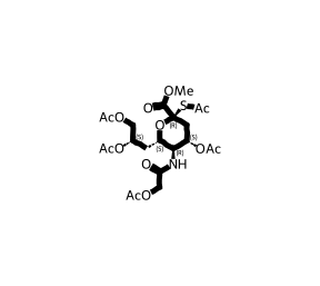 COC(=O)[C@]1(SC(C)=O)C[C@H](OC(C)=O)[C@@H](NC(=O)COC(C)=O)[C@H](C[C@@H](COC(C)=O)OC(C)=O)O1